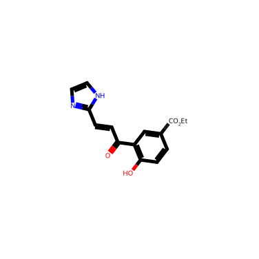 CCOC(=O)c1ccc(O)c(C(=O)C=Cc2ncc[nH]2)c1